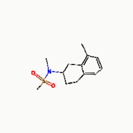 Cc1cccc2c1CC(N(C)S(C)(=O)=O)CC2